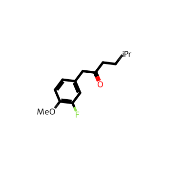 COc1ccc(CC(=O)CCC(C)C)cc1F